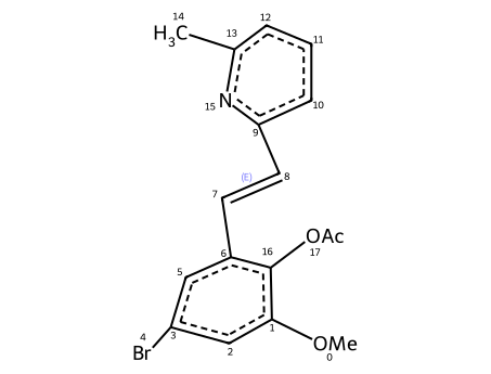 COc1cc(Br)cc(/C=C/c2cccc(C)n2)c1OC(C)=O